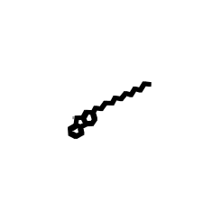 CCCCCCCCCCCCc1ccc2c(c1)[CH]c1ccccc1-2